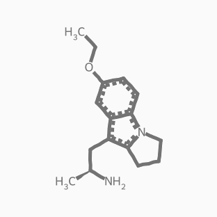 CCOc1ccc2c(c1)c(C[C@H](C)N)c1n2CCC1